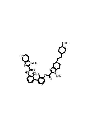 Cn1c(C(=O)Nc2cccc(-c3cccc(NC(=O)c4nc5c(n4C)CCN(CCC4CCC(C=O)CC4)C5)c3Cl)c2O)nc2c1CCNC2